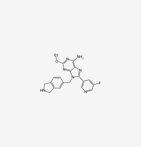 CCOc1nc(N)c2nc(-c3cncc(F)c3)n(Cc3ccc4c(c3)CNC4)c2n1